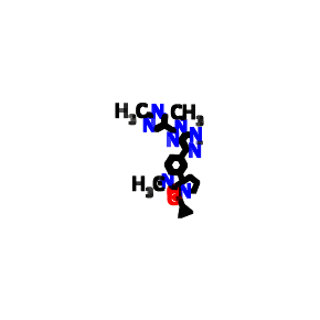 CCn1c(-c2cnc(C)nc2)nc2c(-c3ccc4c(c3)C3(CCCN3C(=O)C3CC3)C(=O)N4C)ncnc21